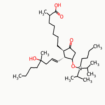 CCCCC(C)(O)CC=C[C@H]1C(O[Si](CCCC)(C(C)C)C(C)C)CC(=O)[C@@H]1CCCCCC(C)C(=O)O